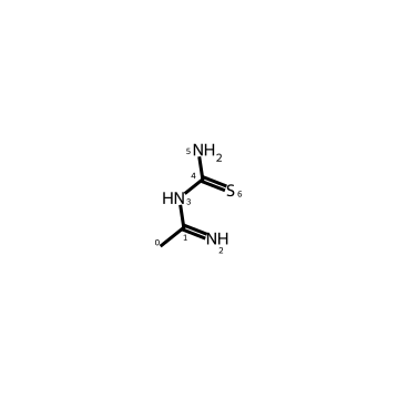 CC(=N)NC(N)=S